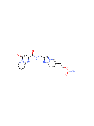 NC(=O)OCCc1ccc2nc(CNC(=O)c3cc(=O)n4ccccc4n3)cn2c1